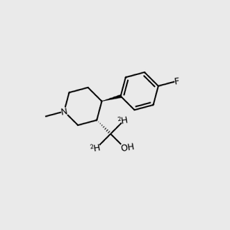 [2H]C([2H])(O)[C@@H]1CN(C)CC[C@H]1c1ccc(F)cc1